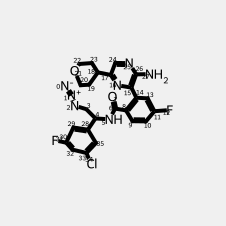 [N-]=[N+]=NCC(NC(=O)c1ccc(F)cc1-c1nc(C2CCOCC2)cnc1N)c1cc(F)cc(Cl)c1